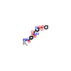 CCNC(=O)c1ccc(S(=O)(=O)NC(=O)c2ccc(OC(=O)OC3CCCCC3)nc2)cc1